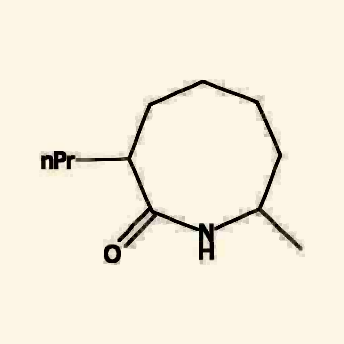 CCCC1CCCCC(C)NC1=O